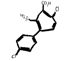 O=C(O)c1c(Cl)ccc(-c2ccc(Cl)cc2)c1C(=O)O